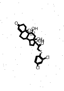 CC12CCC(=O)C=C1CCC1C2[C@@H](O)CC2(C)C1CC[C@]2(O)C(=O)CSc1ccc(Cl)cc1Cl